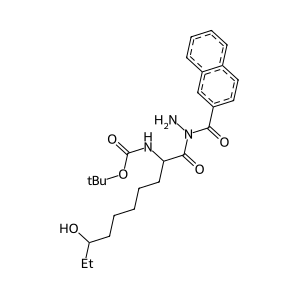 CCC(O)CCCCCC(NC(=O)OC(C)(C)C)C(=O)N(N)C(=O)c1ccc2ccccc2c1